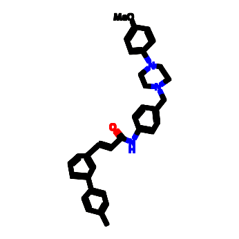 COc1ccc(N2CCN(Cc3ccc(NC(=O)C=Cc4cccc(-c5ccc(C)cc5)c4)cc3)CC2)cc1